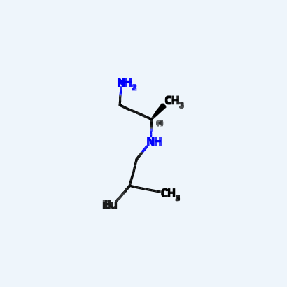 CCC(C)C(C)CN[C@H](C)CN